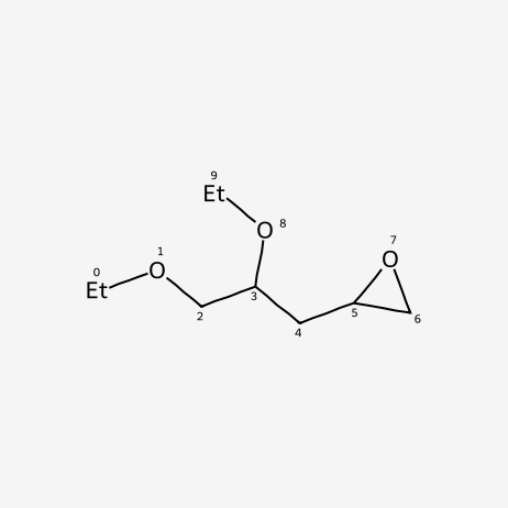 CCOCC(CC1CO1)OCC